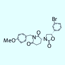 COc1ccc(CN2C(=O)CC[C@@H](N3C[C@H](c4cccc(Br)c4)OC3=O)C2=O)cc1